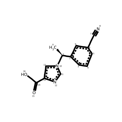 C[C@@H](c1cccc(C#N)c1)n1cnc(C(=O)O)c1